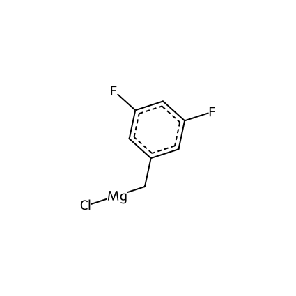 Fc1cc(F)cc([CH2][Mg][Cl])c1